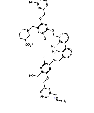 C/N=C/c1cncc(COc2cc(OCc3cccc(-c4cccc(COc5cc(OCc6cncc(C#N)c6)c(CN6CCCC(C(=O)O)C6)cc5Cl)c4C)c3C)c(Cl)cc2CO)c1